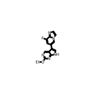 CCOc1ncc2c(-c3cc(F)c4nccn4c3)c[nH]c2n1